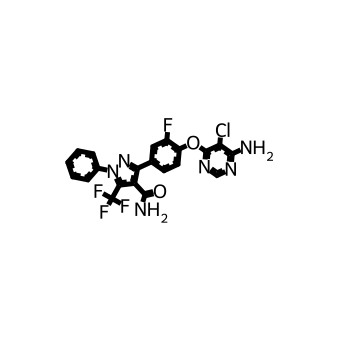 NC(=O)c1c(-c2ccc(Oc3ncnc(N)c3Cl)c(F)c2)nn(-c2ccccc2)c1C(F)(F)F